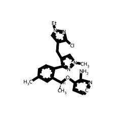 CCn1cc(Cc2cn(C)nc2-c2ccc(C)cc2[C@@H](C)Oc2cccnc2N)c(Cl)n1